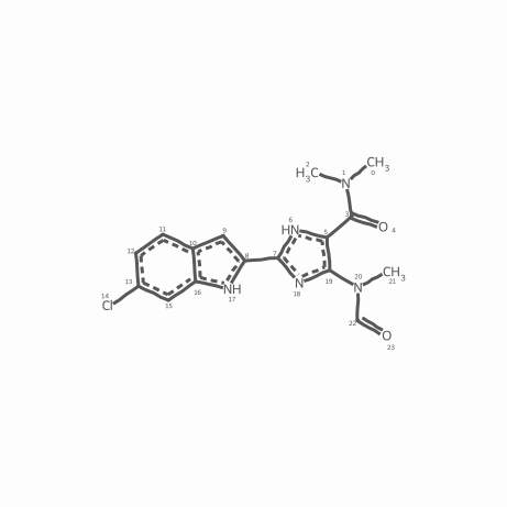 CN(C)C(=O)c1[nH]c(-c2cc3ccc(Cl)cc3[nH]2)nc1N(C)C=O